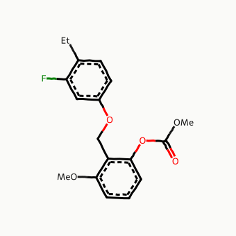 CCc1ccc(OCc2c(OC)cccc2OC(=O)OC)cc1F